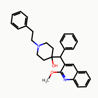 COc1nc2ccccc2cc1C(c1ccccc1)C1(O)CCN(CCc2ccccc2)CC1